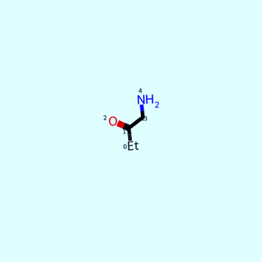 CCC(=O)[CH]N